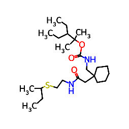 CCC(C)SCCNC(=O)CC1(CNC(=O)OC(C)(C)C(CC)CC)CCCCC1